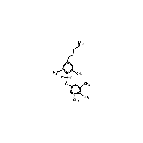 C=CCCCc1cc(C)c(C(F)(F)Oc2cc(C)c(C)c(C)c2)c(C)c1